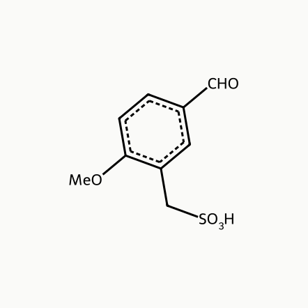 COc1ccc(C=O)cc1CS(=O)(=O)O